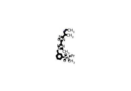 C=C(/C=C\C)c1noc(-c2nc(C)n(Cc3cccc(S(=O)(=O)N(C)CCC)c3)n2)n1